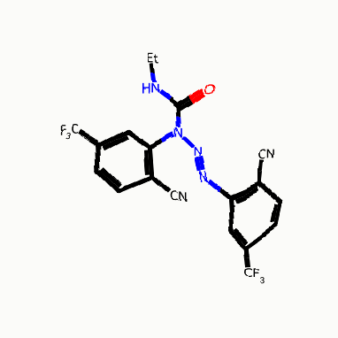 CCNC(=O)N(N=Nc1cc(C(F)(F)F)ccc1C#N)c1cc(C(F)(F)F)ccc1C#N